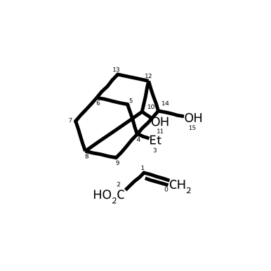 C=CC(=O)O.CCC12CC3CC(C1)C(O)C(C3)C2O